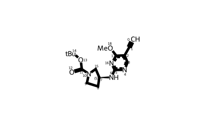 C#Cc1cnc(N[C@H]2CCN(C(=O)OC(C)(C)C)C2)nc1OC